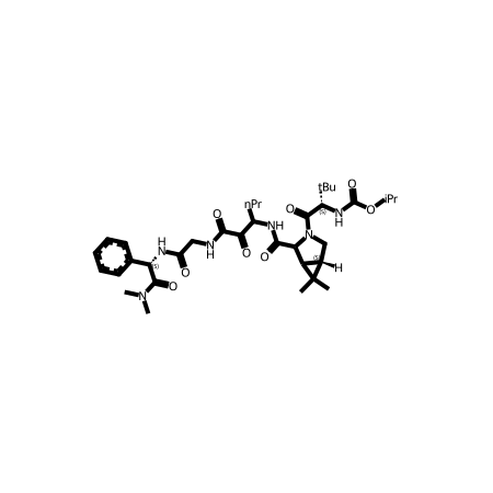 CCCC(NC(=O)C1C2[C@H](CN1C(=O)[C@@H](NC(=O)OC(C)C)C(C)(C)C)C2(C)C)C(=O)C(=O)NCC(=O)N[C@H](C(=O)N(C)C)c1ccccc1